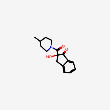 CC1CCN(C(=O)C2(O)Cc3ccccc3C2=O)CC1